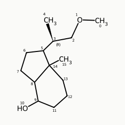 COC[C@H](C)C1CCC2C(O)CCCC21C